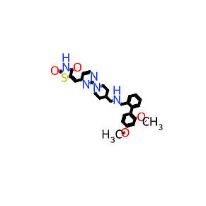 COc1ccc(-c2ccccc2CNCC2CCN(c3nccc(C=C4SC(=O)NC4=O)n3)CC2)c(OC)c1